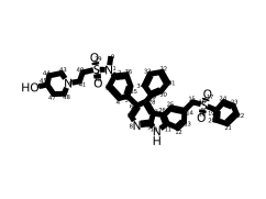 CN(c1ccc(-c2cnc3[nH]c4ccc(CS(=O)(=O)c5ccccc5)cc4c3c2-c2ccccc2)cc1)S(=O)(=O)CCN1CCC(O)CC1